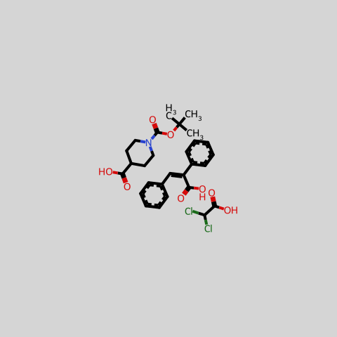 CC(C)(C)OC(=O)N1CCC(C(=O)O)CC1.O=C(O)C(=Cc1ccccc1)c1ccccc1.O=C(O)C(Cl)Cl